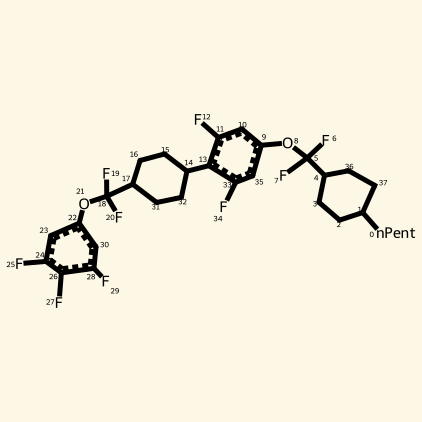 CCCCCC1CCC(C(F)(F)Oc2cc(F)c(C3CCC(C(F)(F)Oc4cc(F)c(F)c(F)c4)CC3)c(F)c2)CC1